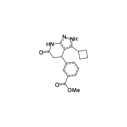 COC(=O)c1cccc(C2CC(=O)Nc3n[nH]c(C4CCC4)c32)c1